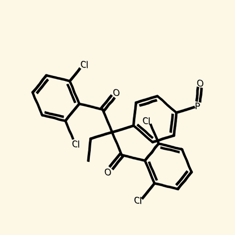 CCC(C(=O)c1c(Cl)cccc1Cl)(C(=O)c1c(Cl)cccc1Cl)c1ccc(P=O)cc1